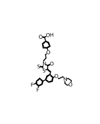 O=C(O)c1ccc(OCCCN2C(=O)/C(=C/c3cc(-c4ccc(F)c(F)c4)ccc3OCCN3CCOCC3)SC2=S)cc1